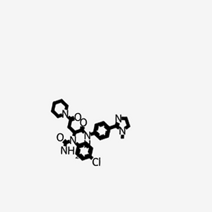 CN1CCN=C1c1ccc(NC(=O)C(CC(=O)N2CCCCC2)N(C(N)=O)c2ccc(Cl)cc2)cc1